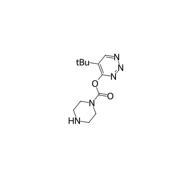 CC(C)(C)c1cnnnc1OC(=O)N1CCNCC1